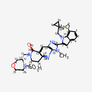 COc1cccc2cc(-c3nc4cc5c(nc4n3C)CCN(C[C@H]3COCCN3S(=O)(=O)O)C5=O)n(CC3(F)CC3)c12